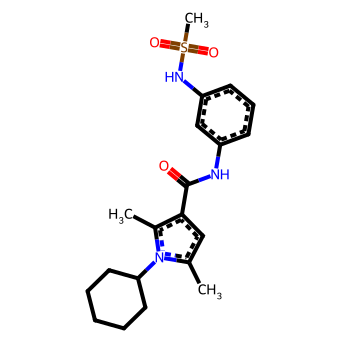 Cc1cc(C(=O)Nc2cccc(NS(C)(=O)=O)c2)c(C)n1C1CCCCC1